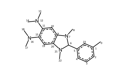 Cc1cccc(C2N(C)c3cc(N(C)C)c(N(C)C)cc3N2C)c1